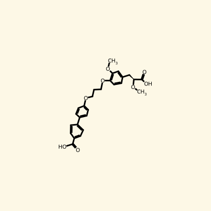 COc1cc(C[C@H](OC)C(=O)O)ccc1OCCCOc1ccc(-c2ccc(C(=O)O)cc2)cc1